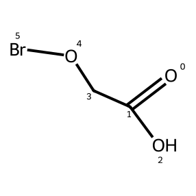 O=C(O)COBr